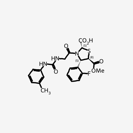 COC(=O)[C@@H]1S[C@@H](C(=O)O)N(C(=O)CNC(=O)Nc2cccc(C)c2)[C@H]1c1ccccc1F